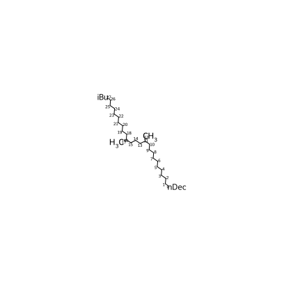 CCCCCCCCCCCCCCCCCCCCC(C)CCCC(C)CCCCCCCCCC(C)CC